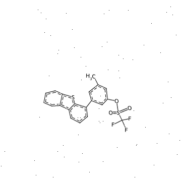 Cc1cc(OS(=O)(=O)C(F)(F)F)cc(-c2cccc3c2sc2ccccc23)c1